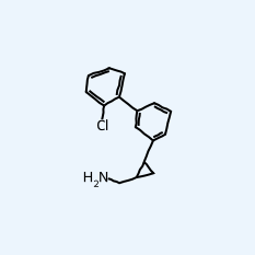 NCC1CC1c1cccc(-c2ccccc2Cl)c1